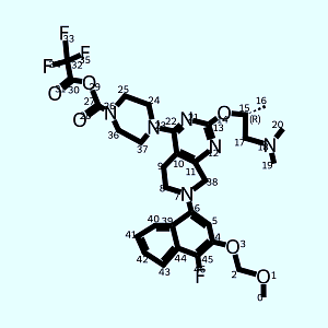 COCOc1cc(N2CCc3c(nc(O[C@H](C)CN(C)C)nc3N3CCN(C(=O)OC(=O)C(F)(F)F)CC3)C2)c2ccccc2c1F